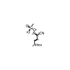 CCCCCCC=CC(C#N)=NOS(C)(=O)=O